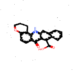 O=C(O)c1c2ccccc2cc2[nH]c3c4c(ccc3c(=O)c12)OCCC4